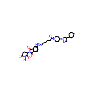 O=C1CCC(N2C(=O)c3ccc(NCCCCCC(=O)N4CCC(N5CC(C6CCCCC6)C=N5)CC4)cc3C2=O)C(=O)N1